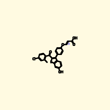 Cc1cc(Cl)ccc1C(=O)c1sc2cc(O)ccc2c1-c1ccc(O/C=C/C(=O)O)cc1